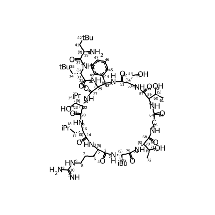 CC[C@H](C)[C@@H]1NC(=O)[C@@H](CCCNC(=N)N)NC(=O)[C@H](CC(C)C)NC(=O)[C@H]([C@H](O)C(C)C)NC(=O)[C@@H](NC(=O)[C@H](CC(C)(C)C)NC(=O)[C@H](N)CC(C)(C)C)[C@@H](c2ccccc2)NC(=O)[C@H](CO)NC(=O)C([C@H](C)O)NC(=O)CNC(=O)[C@H]([C@H](C)O)NC1=O